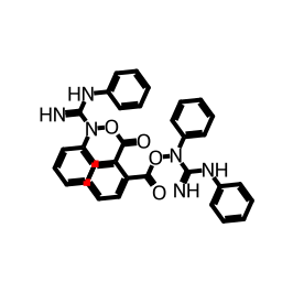 N=C(Nc1ccccc1)N(OC(=O)c1ccccc1C(=O)ON(C(=N)Nc1ccccc1)c1ccccc1)c1ccccc1